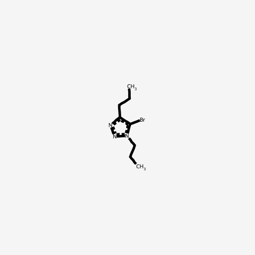 CCCc1nnn(CCC)c1Br